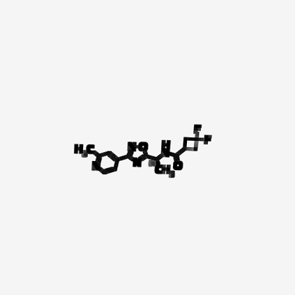 Cc1cc(-c2noc([C@H](C)NC(=O)C3CC(F)(F)C3)n2)ccn1